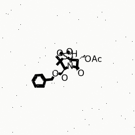 CC(=O)OC[C@@H]1C(=O)N2[C@@H](C(=O)OCc3ccccc3)C(C)(C)S(=O)(=O)[C@H]12